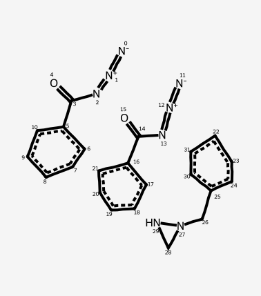 [N-]=[N+]=NC(=O)c1ccccc1.[N-]=[N+]=NC(=O)c1ccccc1.c1ccc(CN2CN2)cc1